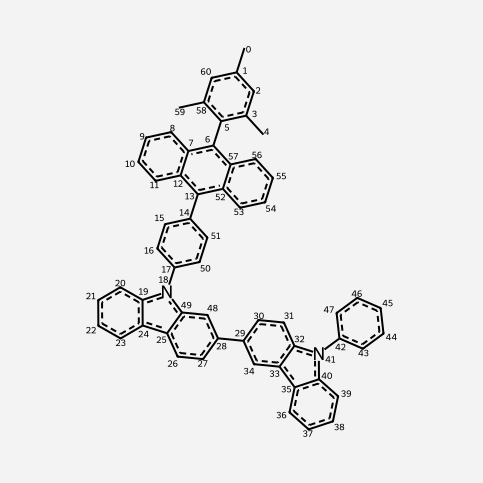 Cc1cc(C)c(-c2c3ccccc3c(-c3ccc(-n4c5ccccc5c5ccc(-c6ccc7c(c6)c6ccccc6n7-c6ccccc6)cc54)cc3)c3ccccc23)c(C)c1